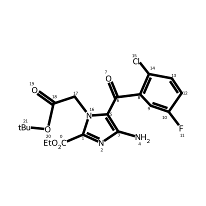 CCOC(=O)c1nc(N)c(C(=O)c2cc(F)ccc2Cl)n1CC(=O)OC(C)(C)C